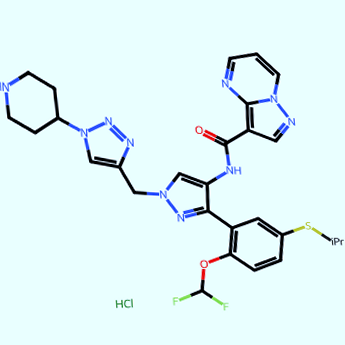 CC(C)Sc1ccc(OC(F)F)c(-c2nn(Cc3cn(C4CCNCC4)nn3)cc2NC(=O)c2cnn3cccnc23)c1.Cl